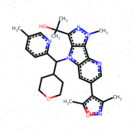 Cc1ccc(C(C2CCOCC2)n2c3cc(-c4c(C)noc4C)cnc3c3c2c(C(C)(C)O)nn3C)nc1